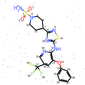 NS(=O)(=O)N1CCC(c2nsc(Nc3ncc(C(F)(F)F)cc3Oc3ccccc3)n2)CC1